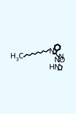 CCCCCCCCCCCn1cc(-c2noc([C@@H]3CCCN3)n2)c2ccccc21